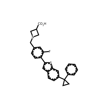 O=C(O)C1CN(Cc2ccc(-c3cc4ccc(C5(c6ccccc6)CC5)cc4s3)c(F)c2)C1